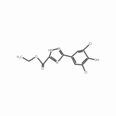 CCOC(=O)c1nc(-c2cc(Cl)c(O)c(Cl)c2)n[nH]1